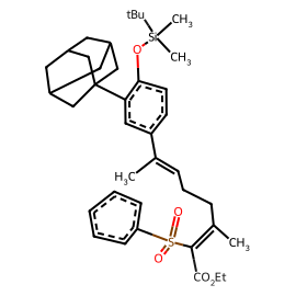 CCOC(=O)C(=C(C)CCC=C(C)c1ccc(O[Si](C)(C)C(C)(C)C)c(C23CC4CC(CC(C4)C2)C3)c1)S(=O)(=O)c1ccccc1